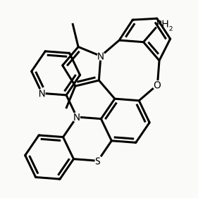 Cc1cc(C)n2c3cccc(oc4ccc5c(c4c12)N(c1ccccn1)c1ccccc1S5)c3P